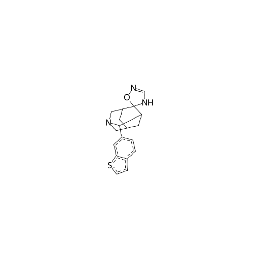 C1=NOC2(N1)C1CC3CC2C(c2ccc4ccsc4c2)N(C3)C1